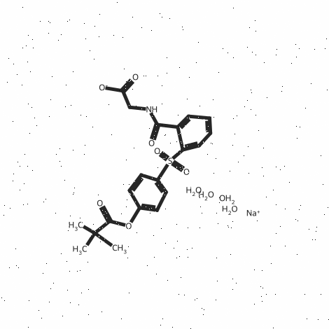 CC(C)(C)C(=O)Oc1ccc(S(=O)(=O)c2ccccc2C(=O)NCC(=O)[O-])cc1.O.O.O.O.[Na+]